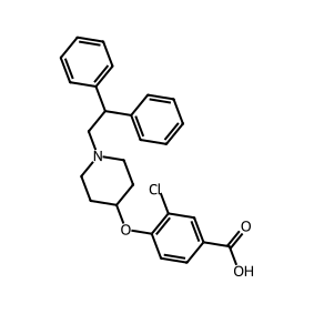 O=C(O)c1ccc(OC2CCN(CC(c3ccccc3)c3ccccc3)CC2)c(Cl)c1